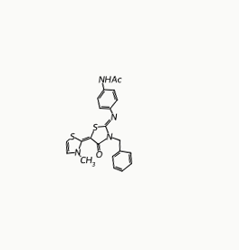 CC(=O)Nc1ccc(/N=C2\S/C(=C3\SC=CN3C)C(=O)N2Cc2ccccc2)cc1